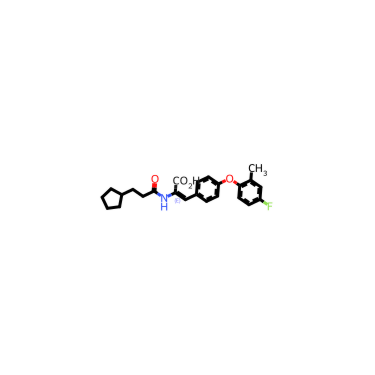 Cc1cc(F)ccc1Oc1ccc(/C=C(/NC(=O)CCC2CCCC2)C(=O)O)cc1